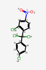 O=[N+]([O-])c1ccc(C(Cl)(Cl)c2ccc(Cl)cc2)c(Cl)c1